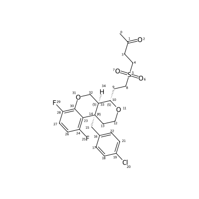 CC(=O)CCS(=O)(=O)CC[C@@H]1OCC[C@@]2(Cc3ccc(Cl)cc3)c3c(F)ccc(F)c3OC[C@@H]12